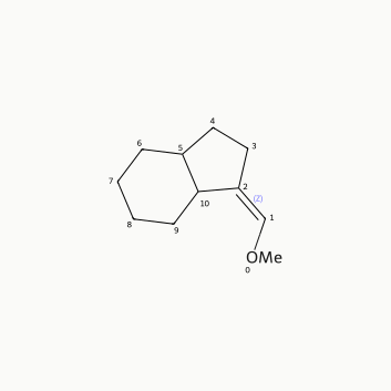 CO/C=C1/CCC2CCCCC12